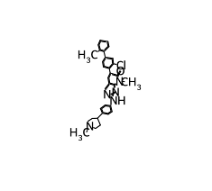 Cc1ccccc1-c1ccc(-c2cc3cnc(Nc4ccc(C5CCN(C)CC5)cc4)nc3n(C)c2=O)c(Cl)c1